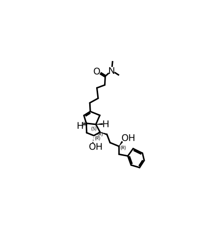 CN(C)C(=O)CCCCC1=C[C@H]2C[C@@H](O)[C@H](CC[C@@H](O)Cc3ccccc3)[C@H]2C1